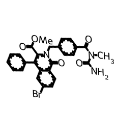 COC(=O)c1c(-c2ccccc2)c2cc(Br)ccc2c(=O)n1Cc1ccc(C(=O)N(C)C(N)=O)cc1